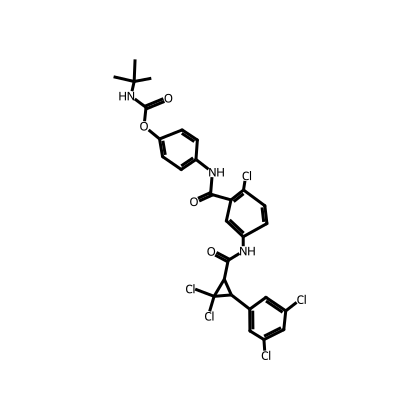 CC(C)(C)NC(=O)Oc1ccc(NC(=O)c2cc(NC(=O)C3C(c4cc(Cl)cc(Cl)c4)C3(Cl)Cl)ccc2Cl)cc1